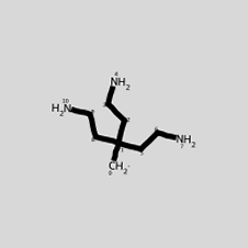 [CH2]C(CCN)(CCN)CCN